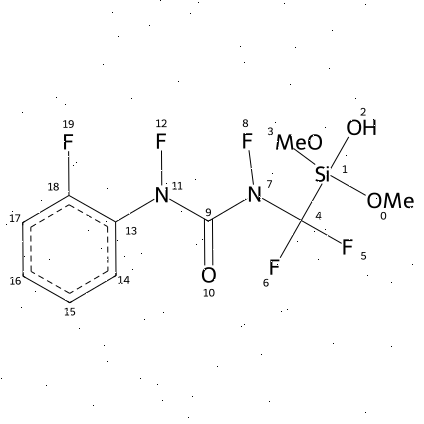 CO[Si](O)(OC)C(F)(F)N(F)C(=O)N(F)c1ccccc1F